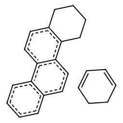 C1=CCCC=C1.c1ccc2c(c1)ccc1c3c(ccc12)CCCC3